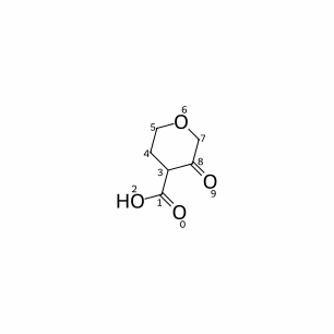 O=C(O)C1CCOCC1=O